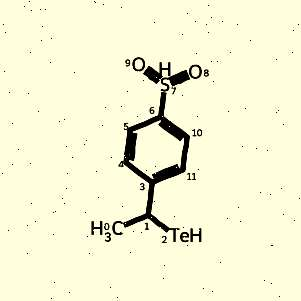 CC([TeH])c1ccc([SH](=O)=O)cc1